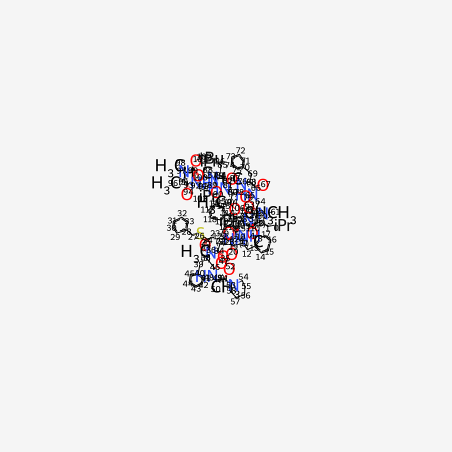 CC(C)C[C@@H](C(=O)N(C)[C@H](C(=O)N[C@@H](Cc1ccccc1)C(=O)N[C@@H](CC(=O)SCc1ccccc1)C(=O)N(C)[C@@H](Cc1ccccc1)C(=O)N[C@@H](C)C(=O)N1CCCCC1)C(C)C)N(C)C(=O)CNC(=O)[C@H](Cc1ccccc1)N(C)C(=O)[C@@H](NC(=O)[C@H](CC(C)C)N(C)C(=O)[C@@H](NC(=O)[C@H](C)N(C)C(=O)OC(C)(C)C)C(C)C)[C@@H](C)OC(c1ccccc1)(c1ccccc1)c1ccccc1